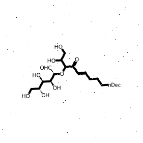 CCCCCCCCCCCCCC=CC(=O)C(O[C@@H](C=O)[C@@H](O)[C@H](O)[C@H](O)CO)C(O)CO